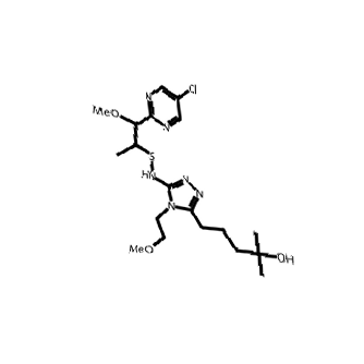 COCCn1c(CCCC(C)(C)O)nnc1NSC(C)C(OC)c1ncc(Cl)cn1